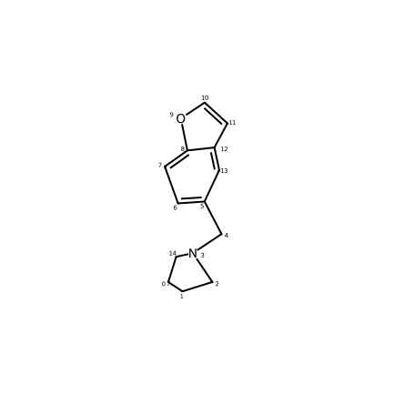 [CH]1CCN(Cc2ccc3occc3c2)C1